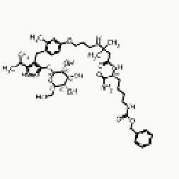 Cc1cc(OCCCNC(C)(C)CC(=O)N[C@@H](CCCCNC(=O)OCc2ccccc2)C(N)=O)ccc1Cc1c(O[C@@H]2O[C@H](CO)[C@@H](O)[C@H](O)[C@H]2O)n[nH]c1C(C)C